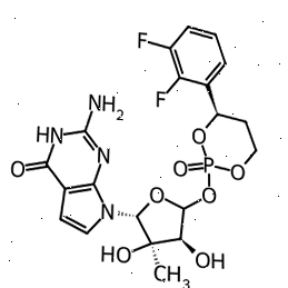 C[C@@]1(O)[C@H](O)C(OP2(=O)OCC[C@H](c3cccc(F)c3F)O2)O[C@H]1n1ccc2c(=O)[nH]c(N)nc21